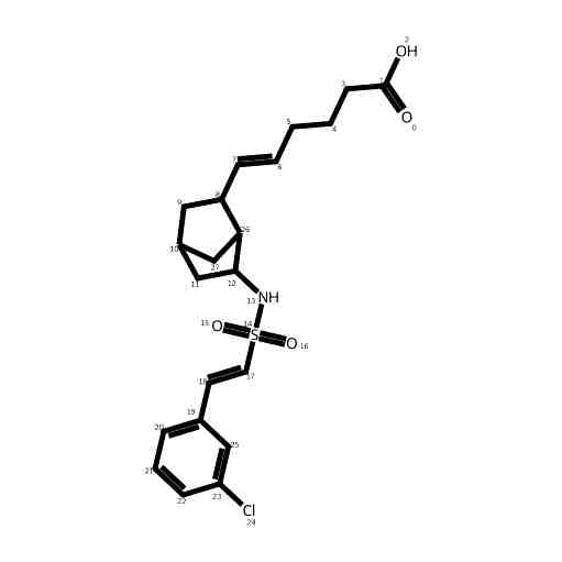 O=C(O)CCCC=CC1CC2CC(NS(=O)(=O)C=Cc3cccc(Cl)c3)C1C2